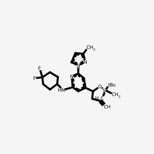 C#CCC(O[Si](C)(C)C(C)(C)C)c1cc(NC2CCC(F)(F)CC2)nc(-n2ccc(C)n2)c1